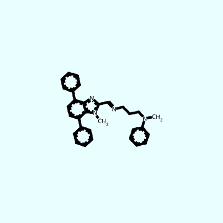 CN(CCC/N=C/c1nc2c(-c3ccccc3)ccc(-c3ccccc3)c2n1C)c1ccccc1